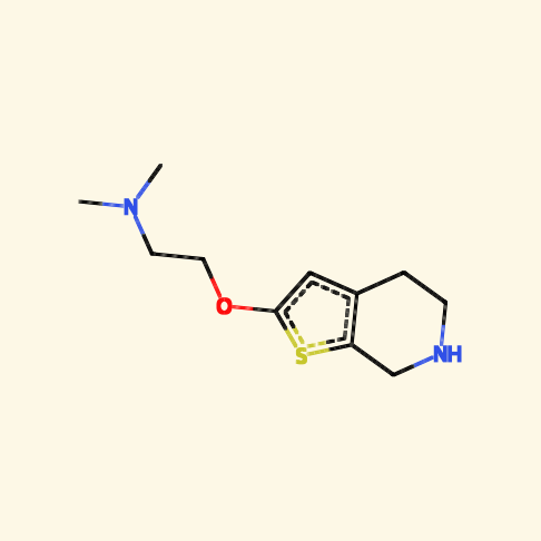 CN(C)CCOc1cc2c(s1)CNCC2